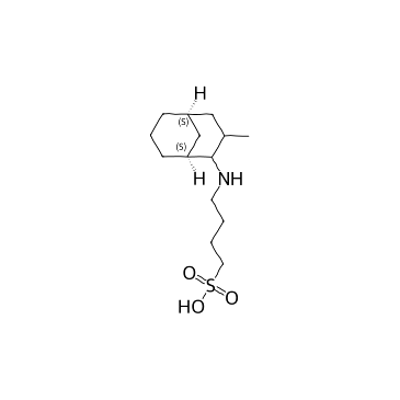 CC1C[C@@H]2CCC[C@@H](C2)C1NCCCCS(=O)(=O)O